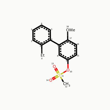 CCc1ccccc1-c1cc(OS(C)(=O)=O)ccc1OC